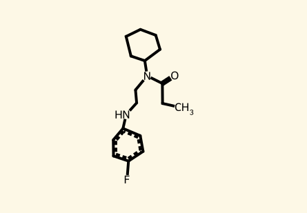 CCC(=O)N(CCNc1ccc(F)cc1)C1CCCCC1